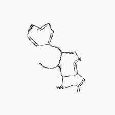 CC1C(c2ccccc2)=CN=C2C=NNC21